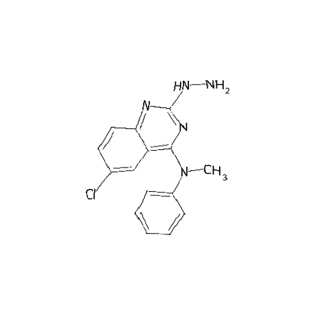 CN(c1ccccc1)c1nc(NN)nc2ccc(Cl)cc12